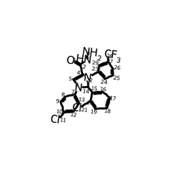 NNC(=O)C1=CN(c2ccc(Cl)cc2)C(c2ccccc2Cl)N1c1cccc(C(F)(F)F)c1